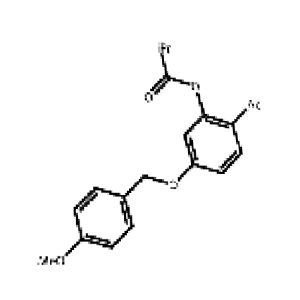 COc1ccc(COc2ccc(C(C)=O)c(OC(=O)C(C)C)c2)cc1